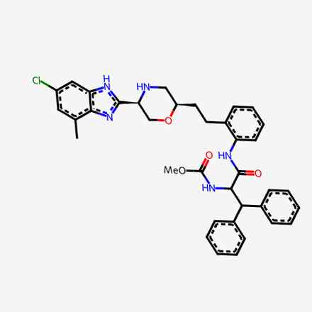 COC(=O)NC(C(=O)Nc1ccccc1CC[C@@H]1CN[C@H](c2nc3c(C)cc(Cl)cc3[nH]2)CO1)C(c1ccccc1)c1ccccc1